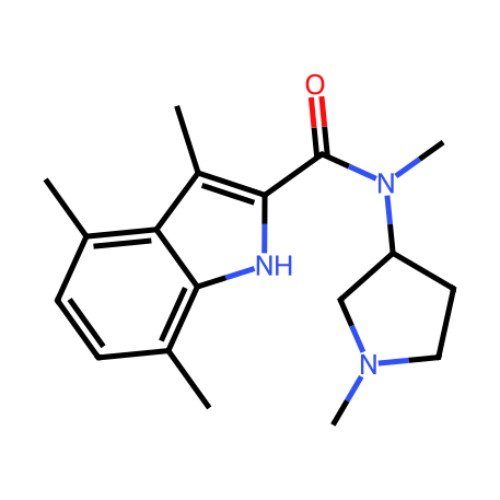 Cc1ccc(C)c2c(C)c(C(=O)N(C)C3CCN(C)C3)[nH]c12